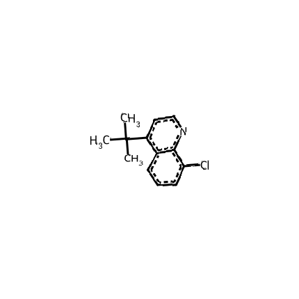 CC(C)(C)c1ccnc2c(Cl)cccc12